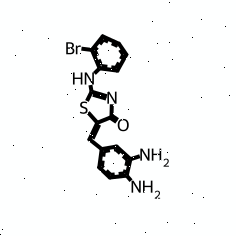 Nc1ccc(C=C2SC(Nc3ccccc3Br)=NC2=O)cc1N